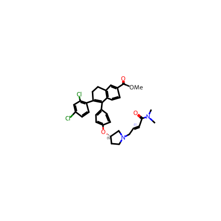 COC(=O)c1ccc2c(c1)CCC(c1ccc(Cl)cc1Cl)=C2c1ccc(O[C@H]2CCN(C/C=C/C(=O)N(C)C)C2)cc1